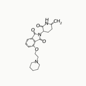 C=C1CCC(N2C(=O)c3cccc(OCCN4CCCCC4)c3C2=O)C(=O)N1